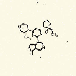 CN=S1(=O)CCC[C@H]1c1cc(N2CCOC[C@H]2C)nc(-c2cncc3[nH]ccc23)n1